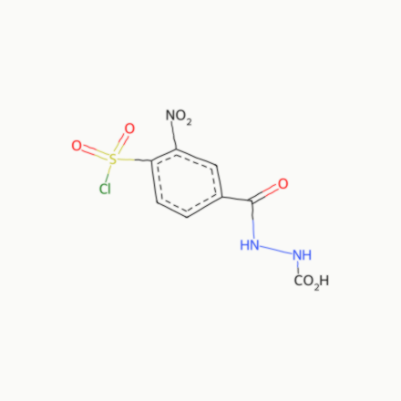 O=C(O)NNC(=O)c1ccc(S(=O)(=O)Cl)c([N+](=O)[O-])c1